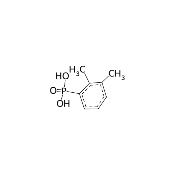 Cc1cccc(P(=O)(O)O)c1C